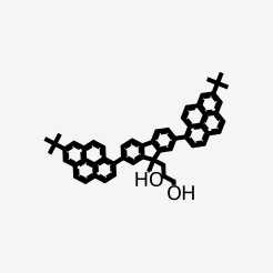 CC(C)(C)c1cc2ccc3ccc(-c4ccc5c(c4)C(CO)(CCCO)c4cc(-c6ccc7ccc8cc(C(C)(C)C)cc9ccc6c7c89)ccc4-5)c4ccc(c1)c2c34